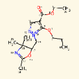 CCCOc1c(C(=O)OCC)cnn1CC1OC(C)=NC1(C)C